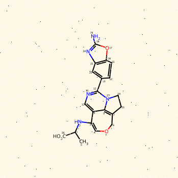 CC(NC1=COCC2=C3C1=CN=C(c1ccc4oc(N)nc4c1)N3CC2)C(=O)O